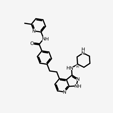 Cc1cccc(NC(=O)c2ccc(CCc3ccnc4[nH]nc(N[C@@H]5CCCNC5)c34)cc2)n1